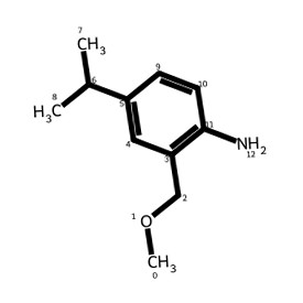 COCc1cc(C(C)C)ccc1N